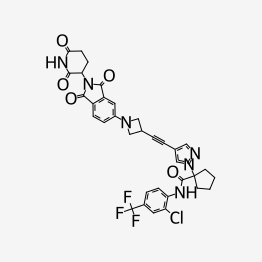 O=C1CCC(N2C(=O)c3ccc(N4CC(C#Cc5cnn(C6(C(=O)Nc7ccc(C(F)(F)F)cc7Cl)CCCC6)c5)C4)cc3C2=O)C(=O)N1